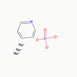 O=P([O-])([O-])[O-].[Na+].[Na+].[Na+].c1ccncc1